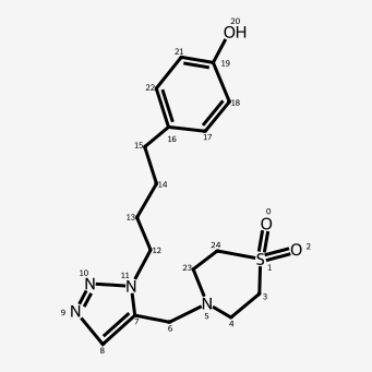 O=S1(=O)CCN(Cc2cnnn2CCCCc2ccc(O)cc2)CC1